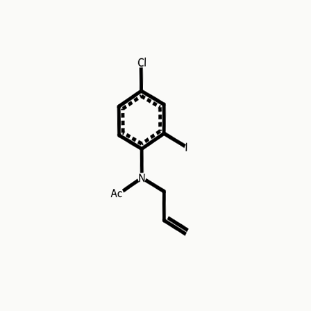 C=CCN(C(C)=O)c1ccc(Cl)cc1I